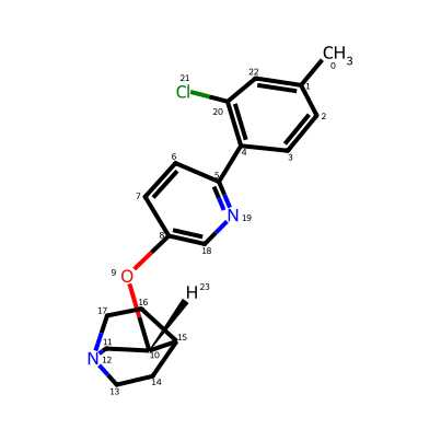 Cc1ccc(-c2ccc(O[C@H]3CN4CCC3CC4)cn2)c(Cl)c1